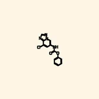 O=C(Nc1cc(Cl)c2ncnn2c1)Oc1ccccc1